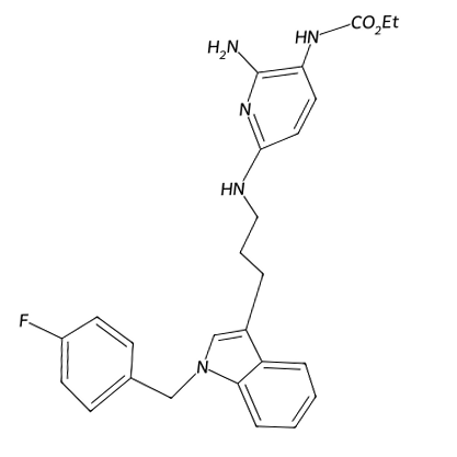 CCOC(=O)Nc1ccc(NCCCc2cn(Cc3ccc(F)cc3)c3ccccc23)nc1N